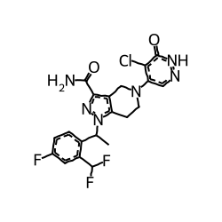 CC(c1ccc(F)cc1C(F)F)n1nc(C(N)=O)c2c1CCN(c1cn[nH]c(=O)c1Cl)C2